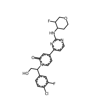 O=c1cc(-c2ccnc(NC3CCOCC3F)n2)ccn1C(CO)c1ccc(Cl)c(F)c1